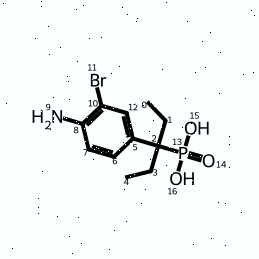 CCC(CC)(c1ccc(N)c(Br)c1)P(=O)(O)O